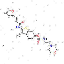 N#Cc1c(NC(=O)C=Cc2ccco2)sc2c1CCC(OC(=O)NCCN1CCOCC1)C2